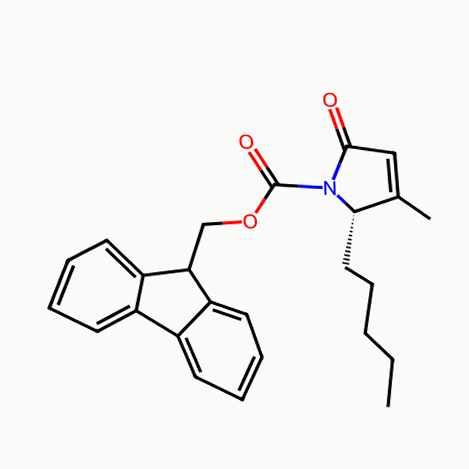 CCCCC[C@H]1C(C)=CC(=O)N1C(=O)OCC1c2ccccc2-c2ccccc21